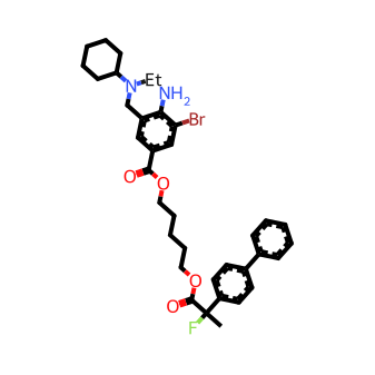 CCN(Cc1cc(C(=O)OCCCCCOC(=O)C(C)(F)c2ccc(-c3ccccc3)cc2)cc(Br)c1N)C1CCCCC1